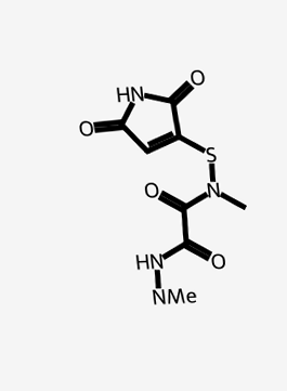 CNNC(=O)C(=O)N(C)SC1=CC(=O)NC1=O